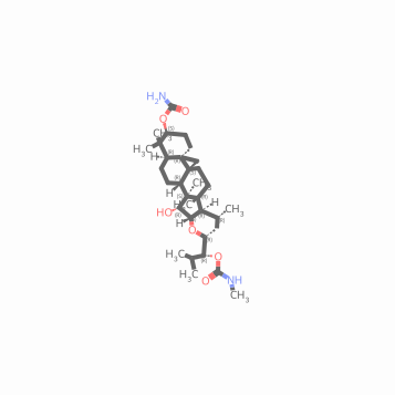 CNC(=O)O[C@H](C(C)C)[C@H]1C[C@@H](C)[C@H]2[C@H](O1)[C@H](O)[C@@]1(C)[C@@H]3CC[C@H]4C(C)(C)[C@@H](OC(N)=O)CC[C@@]45C[C@@]35CC[C@]21C